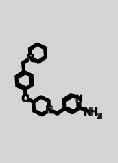 Nc1cc(CN2CCC(Oc3ccc(CN4CCCCC4)cc3)CC2)ccn1